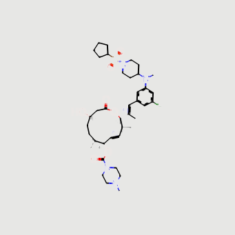 C/C(=C\c1cc(F)cc(N(C)C2CCN(S(=O)(=O)C3CCCC3)CC2)c1)[C@H]1OC(=O)C[C@H](O)CC[C@H](C)[C@@H](OC(=O)N2CCN(C)CC2)/C=C/[C@@H]1C